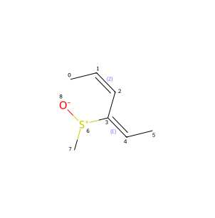 C/C=C\C(=C/C)[S+](C)[O-]